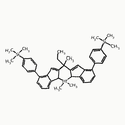 CCC1(C)C2=Cc3c(-c4ccc([Si](C)(C)C)cc4)cccc3[CH]2[Hf]([CH3])([CH3])[CH]2C1=Cc1c(-c3ccc([Si](C)(C)C)cc3)cccc12